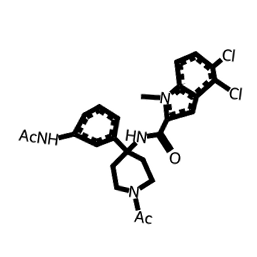 CC(=O)Nc1cccc(C2(NC(=O)c3cc4c(Cl)c(Cl)ccc4n3C)CCN(C(C)=O)CC2)c1